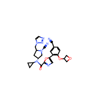 N#Cc1ccc(OC2COC2)c(-c2cnc(C(=O)N(C3CC3)[C@@H]3CC(Cn4ccnn4)N(C#N)C3)o2)c1